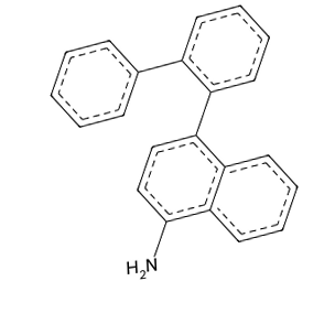 Nc1ccc(-c2ccccc2-c2ccccc2)c2ccccc12